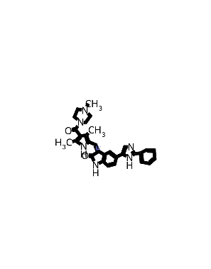 Cc1[nH]c(/C=C2\C(=O)Nc3ccc(-c4cnc(-c5ccccc5)[nH]4)cc32)c(C)c1C(=O)N1CCN(C)CC1